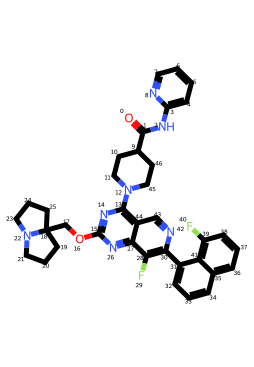 O=C(Nc1ccccn1)C1CCN(c2nc(OCC34CCCN3CCC4)nc3c(F)c(-c4cccc5cccc(F)c45)ncc23)CC1